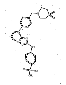 CS(=O)(=O)c1ccc(Nc2nc3c(-c4ccc(CN5CCS(=O)(=O)CC5)cc4)cccn3n2)cc1